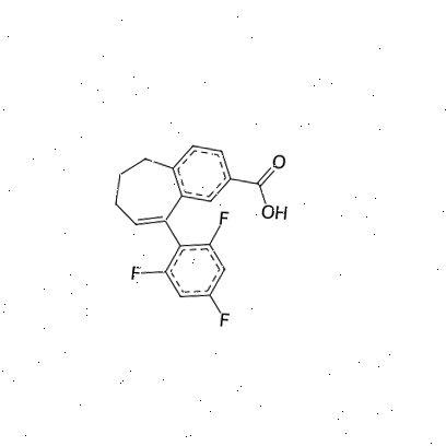 O=C(O)c1ccc2c(c1)C(c1c(F)cc(F)cc1F)=CCCC2